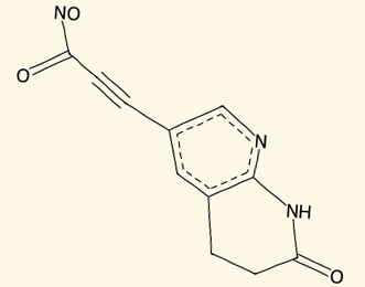 O=NC(=O)C#Cc1cnc2c(c1)CCC(=O)N2